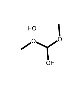 COC(O)OC.[OH]